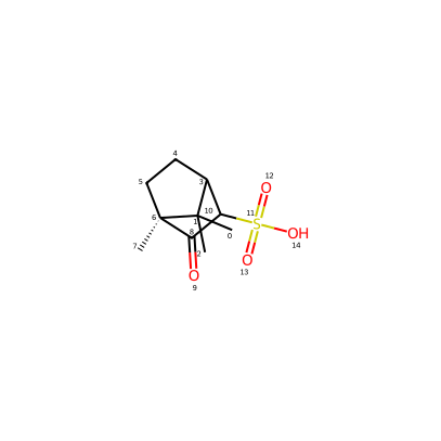 CC1(C)C2CC[C@]1(C)C(=O)C2S(=O)(=O)O